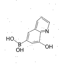 OB(O)c1cc(O)c2ncccc2c1